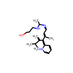 C=C(C(/C(C)=C/C=N\C(C)NCCCO)=C1/C=CC=CN1)C(C)C